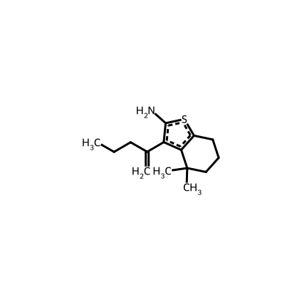 C=C(CCC)c1c(N)sc2c1C(C)(C)CCC2